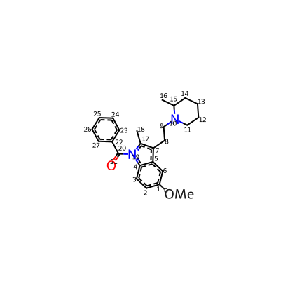 COc1ccc2c(c1)c(CCN1CCCCC1C)c(C)n2C(=O)c1ccccc1